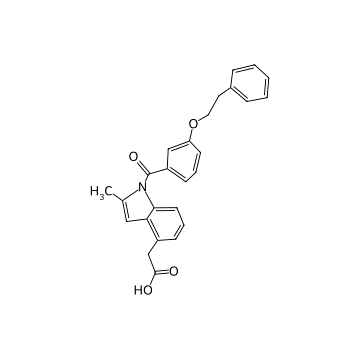 Cc1cc2c(CC(=O)O)cccc2n1C(=O)c1cccc(OCCc2ccccc2)c1